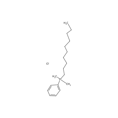 CCCCCCCCCC[P+](C)(C)c1ccccc1.[Cl-]